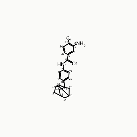 Nc1cc(C(=O)Nc2ccc(C34CC5CC(CC(C5)C3)C4)cc2)ccc1Cl